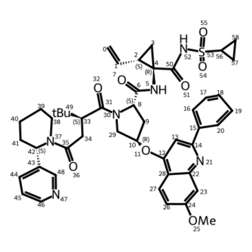 C=C[C@@H]1C[C@]1(NC(=O)[C@@H]1C[C@@H](Oc2cc(-c3ccccc3)nc3cc(OC)ccc23)CN1C(=O)[C@@H](CC(=O)N1CCCC[C@H]1c1cccnc1)C(C)(C)C)C(=O)NS(=O)(=O)C1CC1